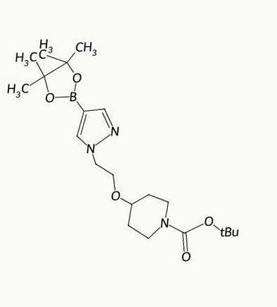 CC(C)(C)OC(=O)N1CCC(OCCn2cc(B3OC(C)(C)C(C)(C)O3)cn2)CC1